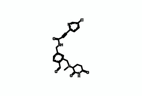 CN(Cc1cc(CNC(=O)C#Cc2ccc(Cl)cn2)ccc1C=O)C1CCC(=O)NC1=O